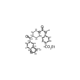 CCOC(=O)c1ccc(N(C)C(=O)N2CCC(C(=O)c3ccc4ncn(C)c4c3)CC2)cc1